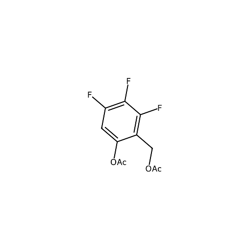 CC(=O)OCc1c(OC(C)=O)cc(F)c(F)c1F